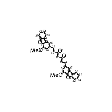 COc1cc(/C=C/C(=O)CC(=O)/C=C/c2cc(OC)c3oc4ccccc4c3c2)cc2c1oc1ccccc12